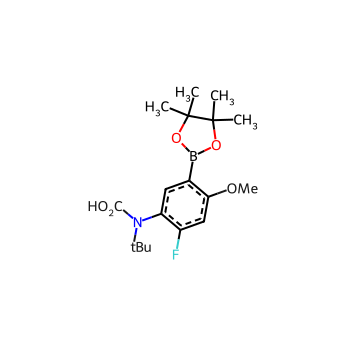 COc1cc(F)c(N(C(=O)O)C(C)(C)C)cc1B1OC(C)(C)C(C)(C)O1